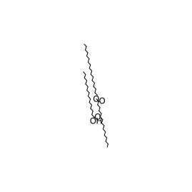 CCCCCCCCCCCCCCCC(=O)O.CCCCCCCCCCCCCCCCCCOC(=O)CCCCCCCCCCCCCCC